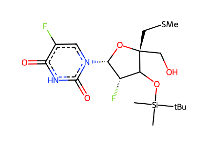 CSC[C@]1(CO)O[C@@H](n2cc(F)c(=O)[nH]c2=O)[C@@H](F)C1O[Si](C)(C)C(C)(C)C